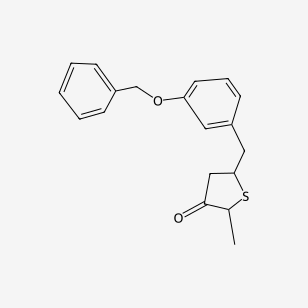 CC1SC(Cc2cccc(OCc3ccccc3)c2)CC1=O